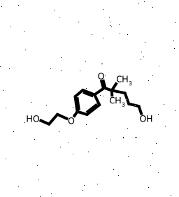 CC(C)(CCCO)C(=O)c1ccc(OCCO)cc1